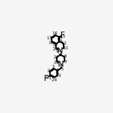 Fc1ccc(CN2CCC(N3CCc4c(F)cccc4C3)CC2)cc1